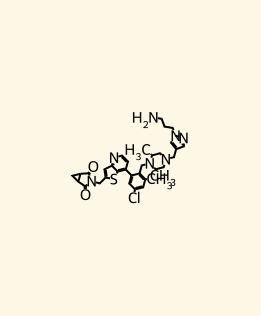 Cc1cc(Cl)cc(-c2ccnc3cc(CN4C(=O)C5CC5C4=O)sc23)c1CN1[C@@H](C)CN(Cc2cnn(CCCN)c2)C[C@@H]1C